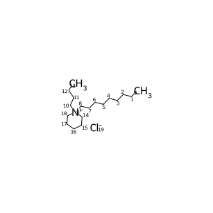 CCCCCCCCC[N+]1(CCCC)CCCCC1.[Cl-]